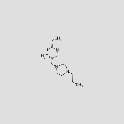 C=C(/C=N\C(I)=C/C)CN1CCN(CCC)CC1